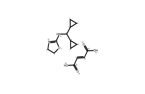 C1COC(NC(C2CC2)C2CC2)=N1.O=C(O)/C=C/C(=O)O